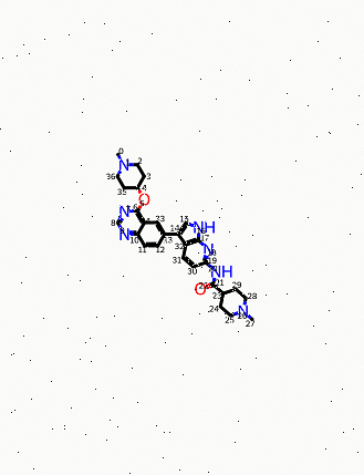 CN1CCC(Oc2ncnc3ccc(-c4c[nH]c5nc(NC(=O)C6CCN(C)CC6)ccc45)cc23)CC1